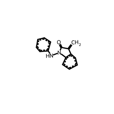 C=C1C(=O)N(Nc2ccccc2)c2ccccc21